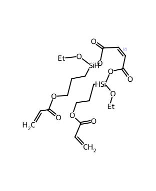 C=CC(=O)OCCC[SiH](OCC)OC(=O)/C=C\C(=O)O[SiH](CCCOC(=O)C=C)OCC